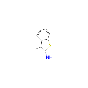 CC1C([NH])SC2C=CC=CC21